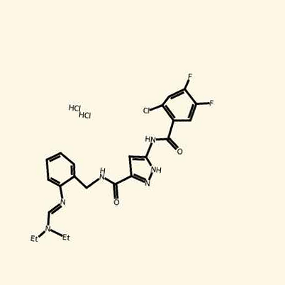 CCN(C=Nc1ccccc1CNC(=O)c1cc(NC(=O)c2cc(F)c(F)cc2Cl)[nH]n1)CC.Cl.Cl